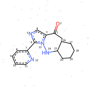 CC(=O)c1cnc(-c2ccccn2)n1NC1CCCCC1